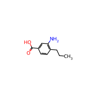 CCCc1ccc(C(=O)O)cc1N